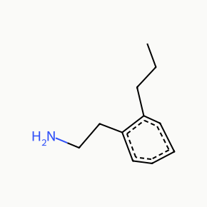 CCCc1ccccc1CCN